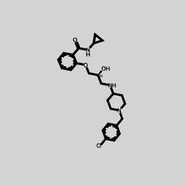 O=C(NC1CC1)c1ccccc1OC[C@@H](O)CNC1CCN(Cc2ccc(Cl)cc2)CC1